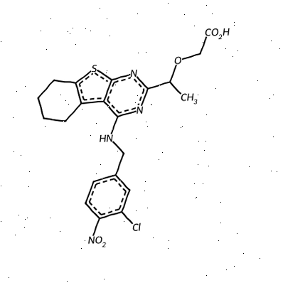 CC(OCC(=O)O)c1nc(NCc2ccc([N+](=O)[O-])c(Cl)c2)c2c3c(sc2n1)CCCC3